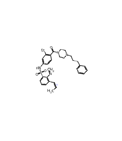 C=Nc1c(/C=C\C)cccc1S(=O)(=O)Nc1ccc(C(=O)N2CCN(CCCc3ccccc3)CC2)c(CC)c1